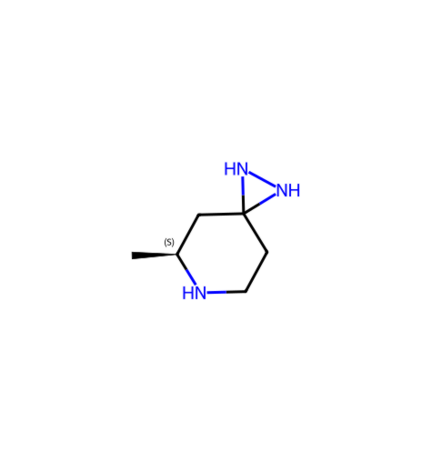 C[C@H]1CC2(CCN1)NN2